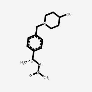 C[C@@H](N[S+](C)[O-])c1ccc(CN2CCC(C(C)(C)C)CC2)cc1